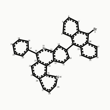 Brc1c2ccccc2c(-c2ccc3c(c2)nc(-c2ccccc2)c2ccc4cccnc4c23)c2ccccc12